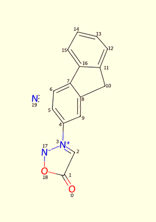 O=c1c[n+](-c2ccc3c(c2)Cc2ccccc2-3)[n-]o1.[N]